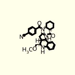 COC[C@@H]1Nc2ccccc2[C@H]2[C@H]1CCN2C(=O)[C@H]1CCCC[C@H]1NC(=O)c1ccc(C#N)cc1